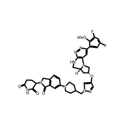 COc1c(F)cc(F)cc1-c1cc2c(nn1)NC[C@H]1C[C@@H](Oc3cnn(CC4CCN(c5ccc6c(c5)C(=O)N(C5CCC(=O)NC5=O)C6)CC4)c3)CN21